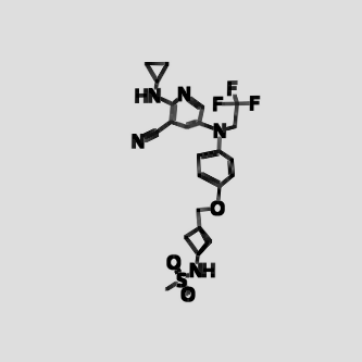 CS(=O)(=O)NC12CC(COc3ccc(N(CC(F)(F)F)c4cnc(NC5CC5)c(C#N)c4)cc3)(C1)C2